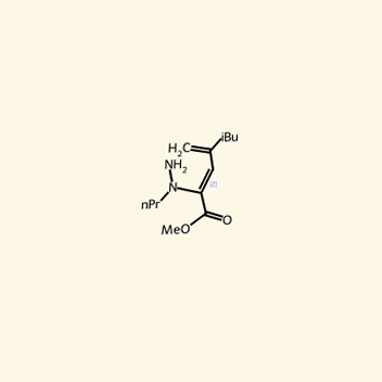 C=C(/C=C(/C(=O)OC)N(N)CCC)C(C)CC